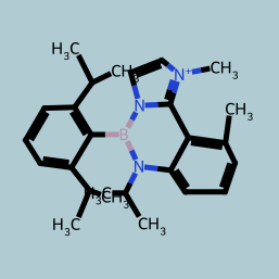 Cc1cccc2c1-c1n(cc[n+]1C)B(c1c(C(C)C)cccc1C(C)C)N2C(C)C